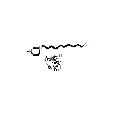 CN1C=CN(CCCCCCCCCCS)C1.O=[N+]([O-])O.O=[N+]([O-])[O-].O=[N+]([O-])[O-].O=[N+]([O-])[O-].[Dy+3]